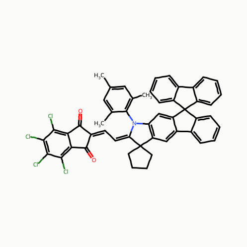 Cc1cc(C)c(N2/C(=C\C=C3C(=O)c4c(Cl)c(Cl)c(Cl)c(Cl)c4C3=O)C3(CCCC3)c3cc4c(cc32)C2(c3ccccc3-c3ccccc32)c2ccccc2-4)c(C)c1